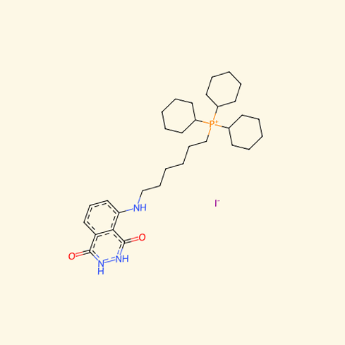 O=c1[nH][nH]c(=O)c2c(NCCCCCC[P+](C3CCCCC3)(C3CCCCC3)C3CCCCC3)cccc12.[I-]